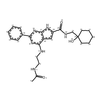 CC(=O)NCCNc1nc(-c2ccccc2)nc2[nH]c(C(=O)NCC3(O)CCCCC3)cc12